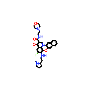 CN1CCCC1CCNc1c(F)cc2c(=O)c(C(=O)NCCN3CCOCC3)cn3c2c1Oc1cc2ccccc2cc1-3